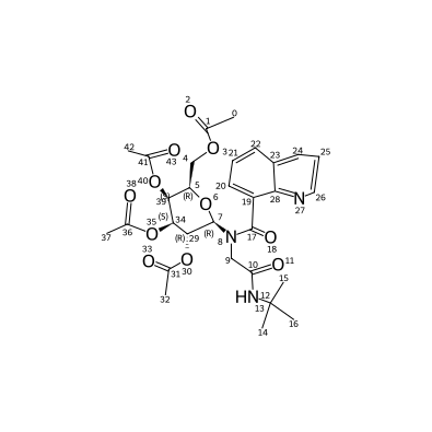 CC(=O)OC[C@H]1O[C@@H](N(CC(=O)NC(C)(C)C)C(=O)c2cccc3cccnc23)[C@H](OC(C)=O)[C@@H](OC(C)=O)[C@H]1OC(C)=O